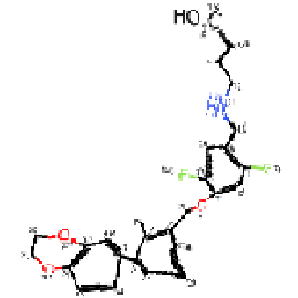 Cc1c(COc2cc(F)c(CNCCCC(=O)O)cc2F)cccc1-c1ccc2c(c1)OCCO2